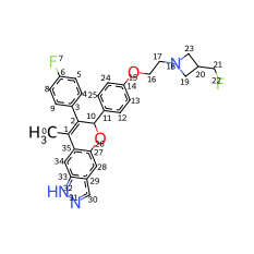 CC1=C(c2ccc(F)cc2)C(c2ccc(OCCN3CC(CF)C3)cc2)Oc2cc3cn[nH]c3cc21